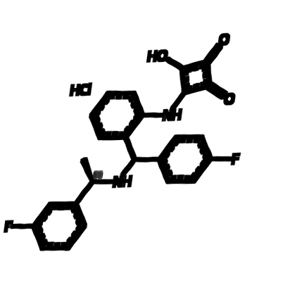 C[C@@H](NC(c1ccc(F)cc1)c1ccccc1Nc1c(O)c(=O)c1=O)c1cccc(F)c1.Cl